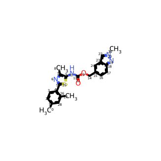 Cc1ccc(-c2nc(C)c(NC(=O)OCc3ccc4nn(C)cc4c3)s2)c(C)c1